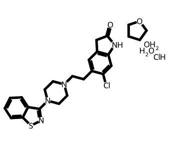 C1CCOC1.Cl.O.O.O=C1Cc2cc(CCN3CCN(c4nsc5ccccc45)CC3)c(Cl)cc2N1